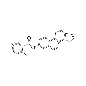 Cc1ccncc1C(=O)Oc1ccc2c(ccc3c4c(ccc32)C=CC4)c1